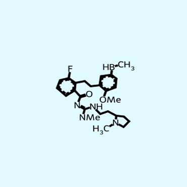 CBc1ccc(OC)c(CCc2c(F)cccc2C(=O)/N=C(/NC)NCCC2CCCN2C)c1